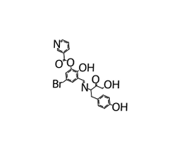 O=C(Oc1cc(Br)cc(C=NC(Cc2ccc(O)cc2)C(=O)CO)c1O)c1cccnc1